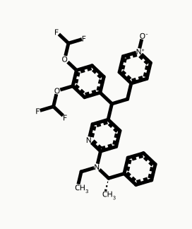 CCN(c1ccc(C(Cc2cc[n+]([O-])cc2)c2ccc(OC(F)F)c(OC(F)F)c2)cn1)[C@@H](C)c1ccccc1